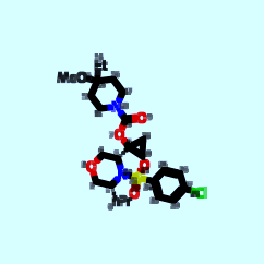 CCC[C@@H]1COC[C@H](C2(OC(=O)N3CCC(CC)(OC)CC3)CC2)N1S(=O)(=O)c1ccc(Cl)cc1